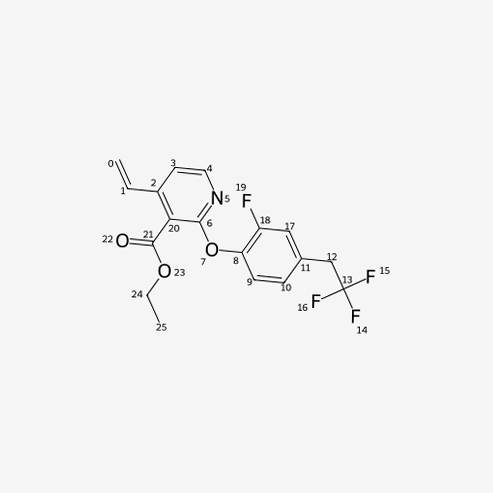 C=Cc1ccnc(Oc2ccc(CC(F)(F)F)cc2F)c1C(=O)OCC